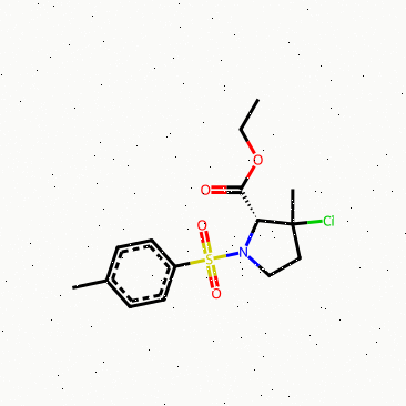 CCOC(=O)[C@H]1N(S(=O)(=O)c2ccc(C)cc2)CCC1(C)Cl